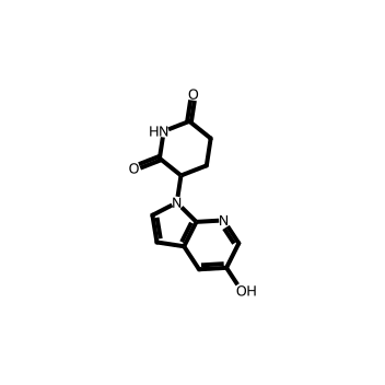 O=C1CCC(n2ccc3cc(O)cnc32)C(=O)N1